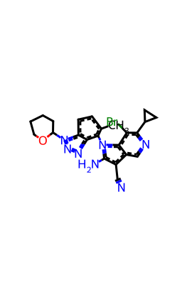 Cc1ccc2c(nnn2C2CCCCO2)c1-n1c(N)c(C#N)c2cnc(C3CC3)c(Br)c21